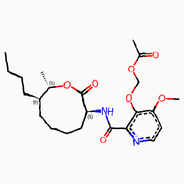 CCCC[C@@H]1CCCC[C@H](NC(=O)c2nccc(OC)c2OCOC(C)=O)C(=O)O[C@H]1C